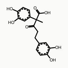 CC(C(=O)O)(C(=O)CCc1ccc(O)c(O)c1)c1ccc(O)c(O)c1